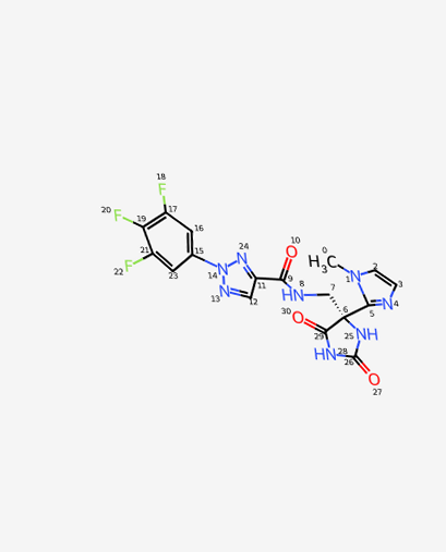 Cn1ccnc1[C@@]1(CNC(=O)c2cnn(-c3cc(F)c(F)c(F)c3)n2)NC(=O)NC1=O